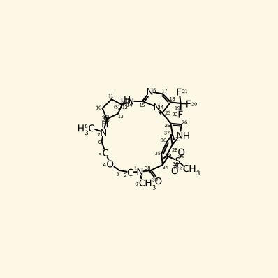 CN1CCOCCN(C)[C@H]2CC[C@@H](C2)Nc2ncc(C(F)(F)F)c(n2)-c2c[nH]c3c(S(C)(=O)=O)c(ccc23)C1=O